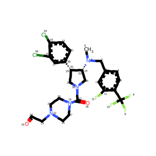 CN(Cc1ccc(C(F)(F)F)c(F)c1)[C@@H]1CN(C(=O)N2CCN(CC=O)CC2)C[C@@H]1c1ccc(Cl)c(Cl)c1